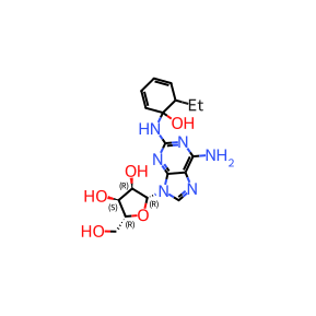 CCC1C=CC=CC1(O)Nc1nc(N)c2ncn([C@@H]3O[C@H](CO)[C@@H](O)[C@H]3O)c2n1